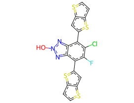 On1nc2c(-c3cc4sccc4s3)c(F)c(Cl)c(-c3cc4sccc4s3)c2n1